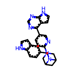 c1nc(-c2ccc(N3CC4CC(C3)N4Cc3ccc4[nH]ccc4c3)nc2)c2cc[nH]c2n1